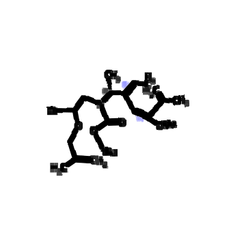 C=C(C)COC(CC)CN(C(=O)OC(C)(C)C)[C@H](C)C(/C=C(/OC)C(=C)C)=C/C